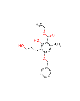 CCOC(=O)c1c(C)cc(OCc2ccccc2)c(CCCO)c1O